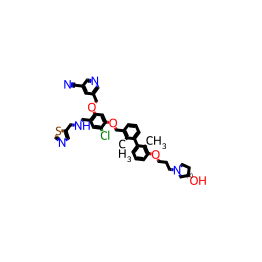 Cc1c(COc2cc(OCc3cncc(C#N)c3)c(CNCc3cncs3)cc2Cl)cccc1-c1cccc(OCCCN2CC[C@@H](O)C2)c1C